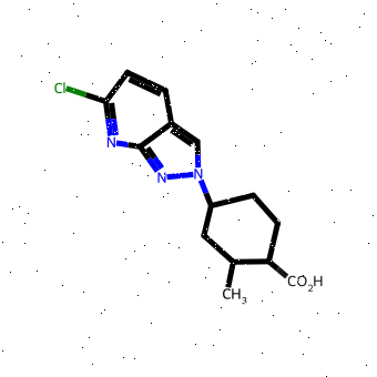 CC1CC(n2cc3ccc(Cl)nc3n2)CCC1C(=O)O